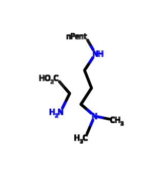 CCCCCNCCCN(C)C.NCC(=O)O